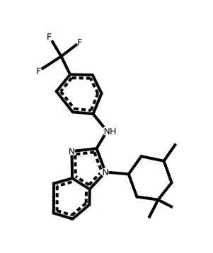 CC1CC(n2c(Nc3ccc(C(F)(F)F)cc3)nc3ccccc32)CC(C)(C)C1